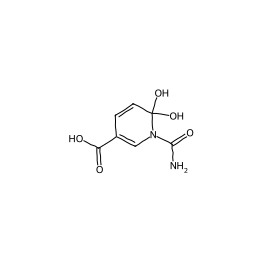 NC(=O)N1C=C(C(=O)O)C=CC1(O)O